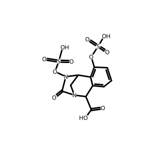 O=C(O)C1c2cccc(OS(=O)(=O)O)c2C2CN1C(=O)N2OS(=O)(=O)O